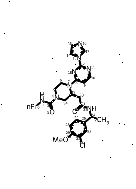 CCCNC(=O)N1CCN(c2ccnc(-n3ccnc3)n2)C(CC(=O)NC(C)c2ccc(OC)c(Cl)c2)C1